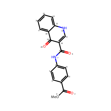 COC(=O)c1ccc(NC(=O)c2c[nH]c3ccccc3c2=O)cc1